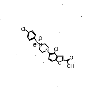 O=C(O)c1cc2c(Cl)c(N3CCN(S(=O)(=O)c4ccc(Cl)cc4)CC3)ccc2o1